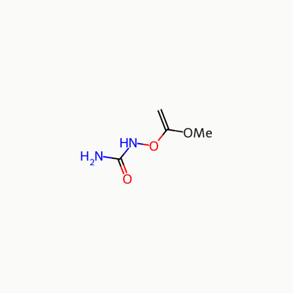 C=C(OC)ONC(N)=O